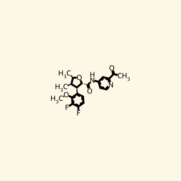 COc1c([C@H]2[C@@H](C)[C@@H](C)O[C@@H]2C(=O)Nc2ccnc(C(C)=O)c2)ccc(F)c1F